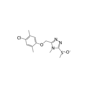 Cc1cc(OCc2nnc([S+](C)[O-])n2C)c(C)cc1Cl